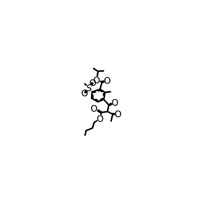 CCCCOC(=O)C(C(C)=O)C(=O)c1ccc(S(C)(=O)=O)c(C(=O)OC(C)C)c1C